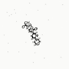 CC(=O)NC[C@H]1CN(c2ccc(N3CCOCC3)nc2)C(=O)O1